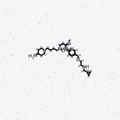 C/N=C(\C=C/N(C=O)CCCCN1CCC(N)CC1)Nc1ccc(COCCNCC2CC2)cn1